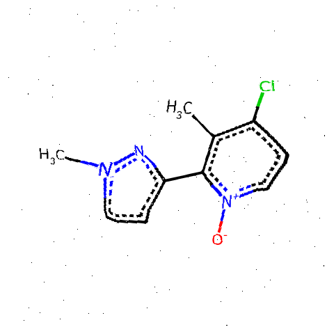 Cc1c(Cl)cc[n+]([O-])c1-c1ccn(C)n1